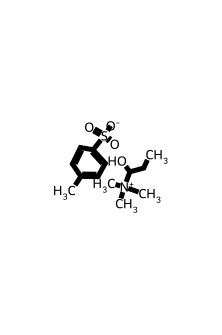 CCC(O)[N+](C)(C)C.Cc1ccc(S(=O)(=O)[O-])cc1